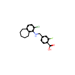 O=C(O)c1ccc(CNc2c(Cl)ccc3c2CCCCC3)cc1F